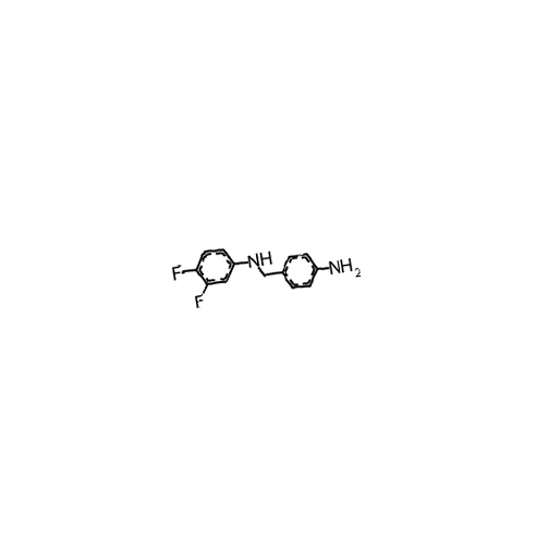 Nc1ccc(CNc2ccc(F)c(F)c2)cc1